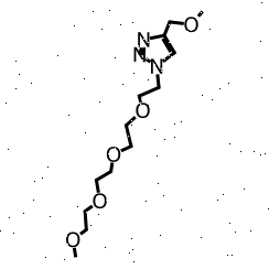 COCCOCCOCCOCCn1cc(COC)nn1